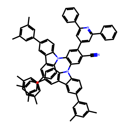 Cc1cc(C)cc(-c2ccc3c(c2)c2cc(-c4cc(C)cc(C)c4)ccc2n3-c2cc(C#N)c(-c3cc(-c4ccccc4)nc(-c4ccccc4)c3)cc2-n2c3ccc(-c4cc(C)cc(C)c4)cc3c3cc(-c4cc(C)cc(C)c4)ccc32)c1